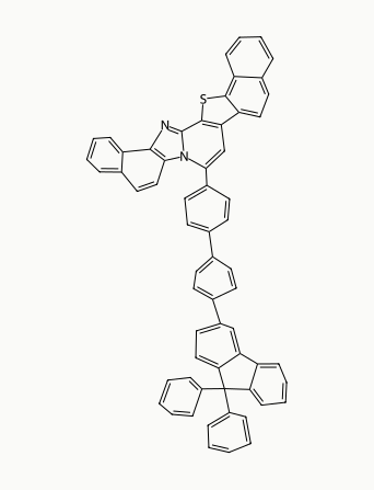 c1ccc(C2(c3ccccc3)c3ccccc3-c3cc(-c4ccc(-c5ccc(-c6cc7c8ccc9ccccc9c8sc7c7nc8c9ccccc9ccc8n67)cc5)cc4)ccc32)cc1